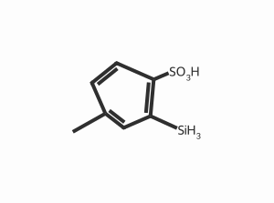 Cc1ccc(S(=O)(=O)O)c([SiH3])c1